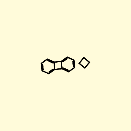 C1CCC1.c1ccc2c(c1)-c1ccccc1-2